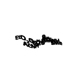 CCOC(=O)COc1ccc(C(=O)CN2Cc3cc(C(=N)SC)ccc3C2=O)cc1NC(C)=O